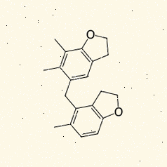 Cc1ccc2c(c1Cc1cc3c(c(C)c1C)OCC3)CCO2